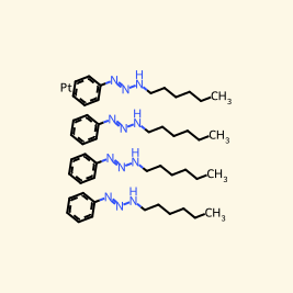 CCCCCCNN=Nc1ccccc1.CCCCCCNN=Nc1ccccc1.CCCCCCNN=Nc1ccccc1.CCCCCCNN=Nc1ccccc1.[Pt]